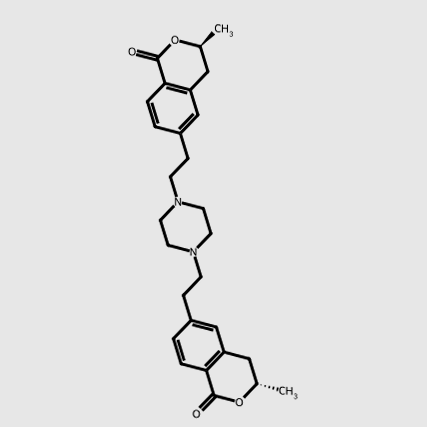 C[C@H]1Cc2cc(CCN3CCN(CCc4ccc5c(c4)C[C@H](C)OC5=O)CC3)ccc2C(=O)O1